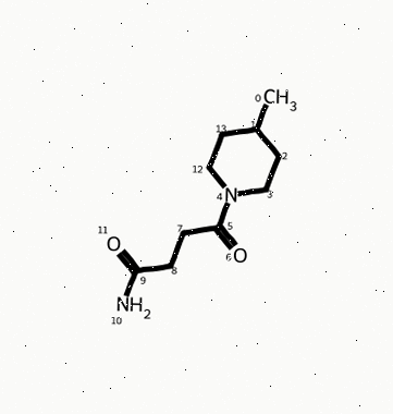 CC1CCN(C(=O)CCC(N)=O)CC1